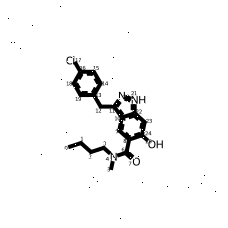 CCCCN(C)C(=O)c1cc2c(Cc3ccc(Cl)cc3)n[nH]c2cc1O